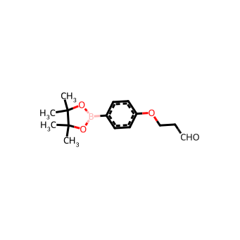 CC1(C)OB(c2ccc(OCCC=O)cc2)OC1(C)C